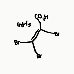 O=C(O)C(Br)=C(Br)Br.[InH3]